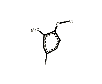 CCOc1ccc(I)cc1OC